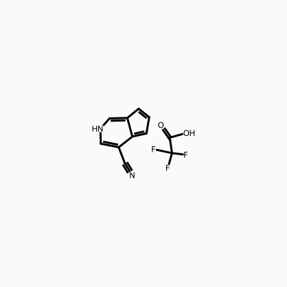 N#Cc1c[nH]cc2cccc1-2.O=C(O)C(F)(F)F